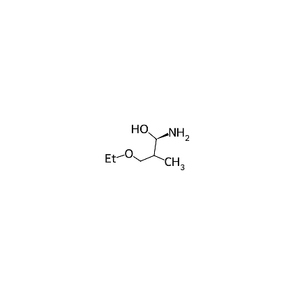 CCOCC(C)[C@H](N)O